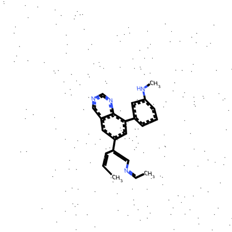 C\C=C/C(=C\N=C/C)c1cc(-c2cccc(NC)c2)c2ncncc2c1